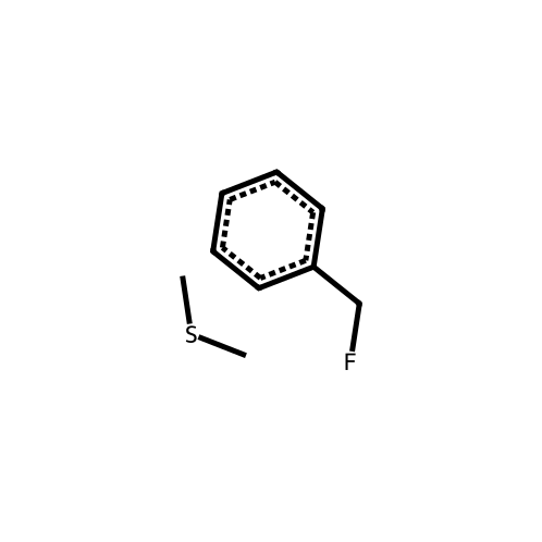 CSC.FCc1ccccc1